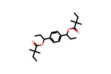 CCC(OC(=O)C(C)(C)CC)c1ccc(C(CC)OC(=O)C(C)(C)CC)cc1